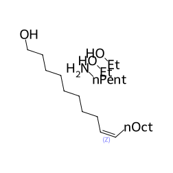 CCCCCCCC/C=C\CCCCCCCCO.CCCCCN.CCO.CCO